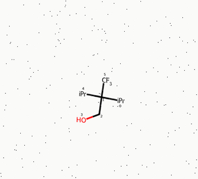 CC(C)C(CO)(C(C)C)C(F)(F)F